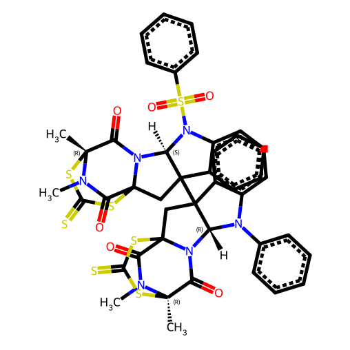 CN1C(=O)C23CC4(C56CC78SC(=S)S[C@](C)(C(=O)N7[C@H]5N(S(=O)(=O)c5ccccc5)c5ccccc56)N(C)C8=O)c5ccccc5N(c5ccccc5)[C@@H]4N2C(=O)[C@@]1(C)SC(=S)S3